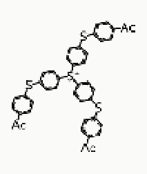 CC(=O)c1ccc(Sc2ccc([S+](c3ccc(Sc4ccc(C(C)=O)cc4)cc3)c3ccc(Sc4ccc(C(C)=O)cc4)cc3)cc2)cc1